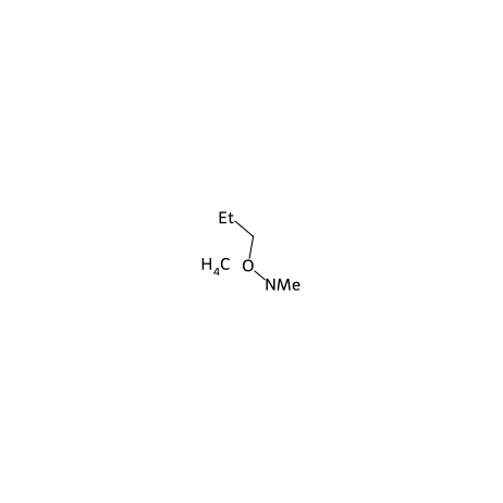 C.CCCONC